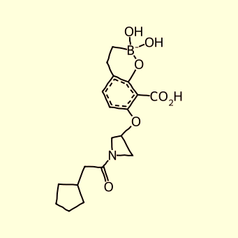 O=C(O)c1c(OC2CN(C(=O)CC3CCCC3)C2)ccc2c1O[B-](O)(O)CC2